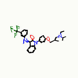 CCN(CC(C)COc1ccc(N2C(=O)C(=Nc3cccc(C(F)(F)F)c3)c3ccccc32)cc1)C(C)C